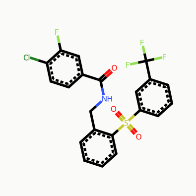 O=C(NCc1ccccc1S(=O)(=O)c1cccc(C(F)(F)F)c1)c1ccc(Cl)c(F)c1